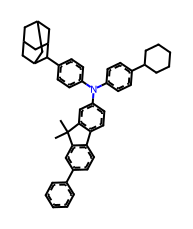 CC1(C)c2cc(-c3ccccc3)ccc2-c2ccc(N(c3ccc(C4CCCCC4)cc3)c3ccc(C4C5CC6CC(C5)CC4C6)cc3)cc21